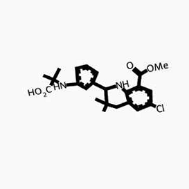 COC(=O)c1cc(Cl)cc2c1NC(c1cccc(NC(C)(C)C(=O)O)c1)C(C)(C)C2